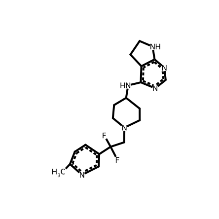 Cc1ccc(C(F)(F)CN2CCC(Nc3ncnc4c3CCN4)CC2)cn1